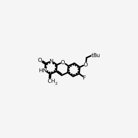 C=c1[nH]c(=O)nc2c1=Cc1cc(F)c(OCC(C)(C)C)cc1O2